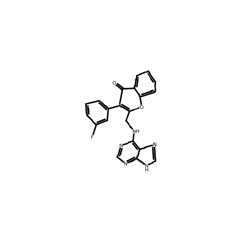 O=c1c(-c2cccc(F)c2)c(CNc2ncnc3[nH]cnc23)oc2ccccc12